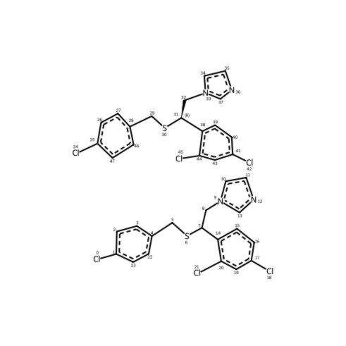 Clc1ccc(CSC(Cn2ccnc2)c2ccc(Cl)cc2Cl)cc1.Clc1ccc(CS[C@@H](Cn2ccnc2)c2ccc(Cl)cc2Cl)cc1